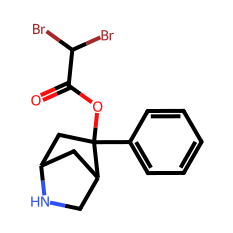 O=C(OC1(c2ccccc2)CC2CC1CN2)C(Br)Br